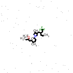 C/C=C\C(CC1=C(C)CN(C(C)/C=C\C(C)CCC(CC)OC)C1)CC(F)(F)F